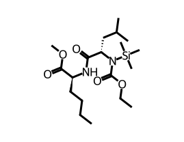 CCCC[C@H](NC(=O)[C@H](CC(C)C)N(C(=O)OCC)[Si](C)(C)C)C(=O)OC